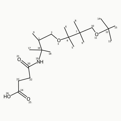 CC(COC(C)(C)C(C)(C)COC(C)(C)C)C(C)(C)NC(=O)CCC(=O)O